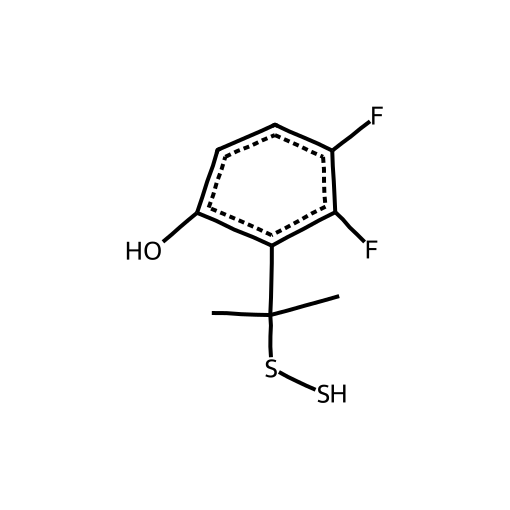 CC(C)(SS)c1c(O)ccc(F)c1F